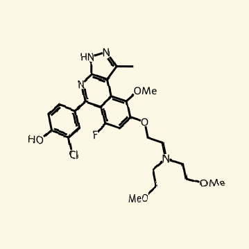 COCCN(CCOC)CCOc1cc(F)c2c(-c3ccc(O)c(Cl)c3)nc3[nH]nc(C)c3c2c1OC